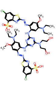 CCN(CC)c1cc(Nc2nc(Nc3cc(N(CC)CC)c(OC)cc3/N=N/c3nc4c(S(=O)(=O)O)cc(Cl)cc4s3)nc(N(CCO)CCO)n2)c(/N=N/c2nc3c(S(=O)(=O)O)cc(Cl)cc3s2)cc1OC